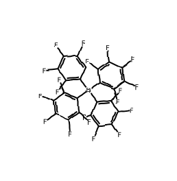 Fc1cc([B-](c2c(F)c(F)c(F)c(F)c2F)(c2c(F)c(F)c(F)c(F)c2F)c2c(F)c(F)c(F)c(F)c2F)c(F)c(F)c1F